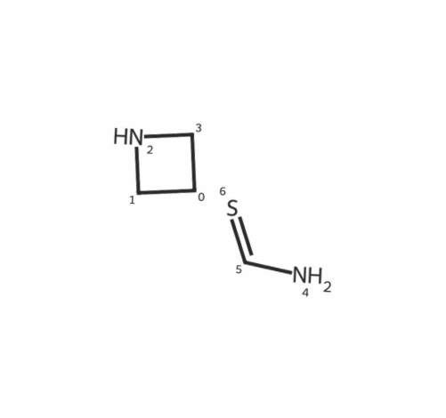 C1CNC1.NC=S